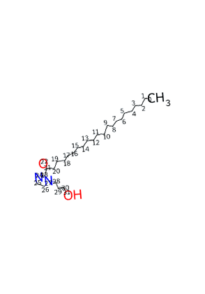 CCCCCCCCCCCCCCCCCCCCCC(=O)C1=NCCN1CC=CO